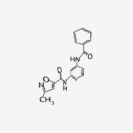 Cc1cc(C(=O)Nc2cccc(NC(=O)c3ccccc3)c2)on1